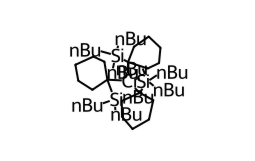 CCCC[Si](CCCC)(CCCC)[C]1([Cr]([C]2([Si](CCCC)(CCCC)CCCC)CCCCC2)[C]2([Si](CCCC)(CCCC)CCCC)CCCCC2)CCCCC1